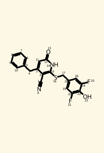 N#Cc1c(Cc2ccccc2)cc(=O)[nH]c1SCc1cc(F)c(O)c(F)c1